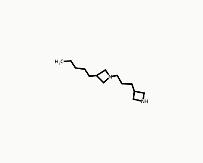 CCCCCC1CN(CCCC2CNC2)C1